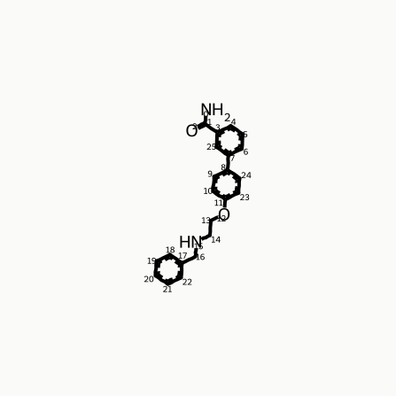 NC(=O)c1cccc(-c2ccc(OCCNCc3ccccc3)cc2)c1